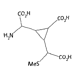 CSC(C(=O)O)C1C(C(=O)O)C1C(N)C(=O)O